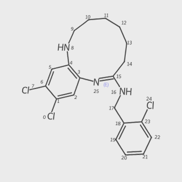 Clc1cc2c(cc1Cl)NCCCCCC/C(NCc1ccccc1Cl)=N\2